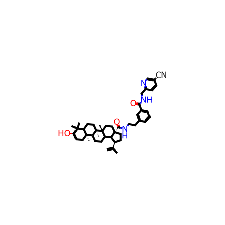 C=C(C)[C@@H]1CC[C@]2(C(=O)NCCc3cccc(C(=O)NCc4ccc(C#N)cn4)c3)CC[C@]3(C)C(CCC4[C@@]5(C)CC[C@H](O)C(C)(C)C5CC[C@]43C)C12